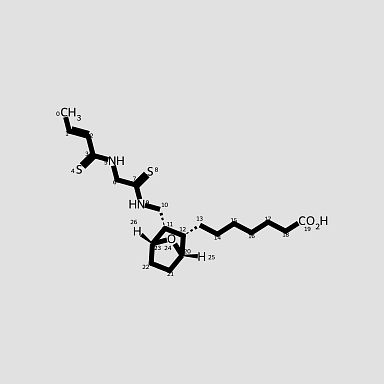 CC=CC(=S)NCC(=S)NC[C@@H]1[C@H](CCCCCCC(=O)O)[C@@H]2CC[C@H]1O2